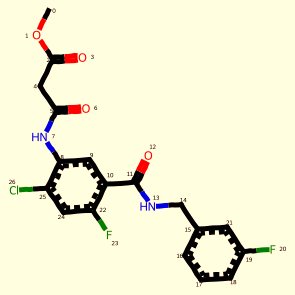 COC(=O)CC(=O)Nc1cc(C(=O)NCc2cccc(F)c2)c(F)cc1Cl